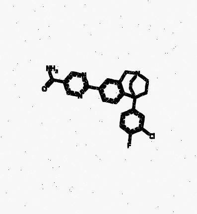 NC(=O)c1cnc(-c2ccc3c(c2)CN2CCC3(c3ccc(F)c(Cl)c3)CC2)nc1